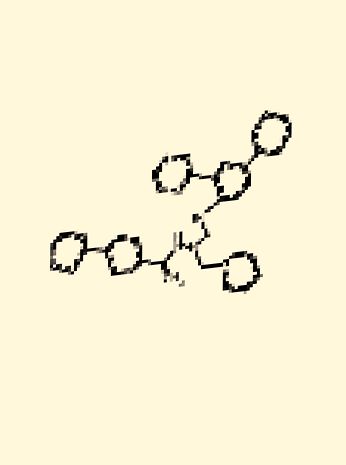 C=C(NN(CNc1ccc(-c2ccccc2)cc1-c1ccccc1)Cc1ccccc1)c1ccc(-c2ccccc2)cc1